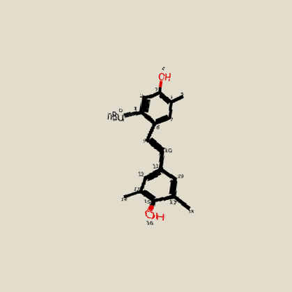 CCCCc1cc(O)c(C)cc1C=Cc1cc(C)c(O)c(C)c1